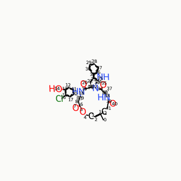 CC1=CCCOC(=O)C[C@H](c2ccc(O)c(Cl)c2)NC(=O)[C@@H](Cc2c[nH]c3ccccc23)N(C)C(=O)[C@H](C)NC(=O)CC1